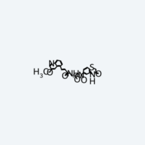 COc1cnc2cccc(C=CC(=O)NC[C@@H]3CN(c4ccc5c(c4)NC(=O)CS5)C(=O)O3)c2c1